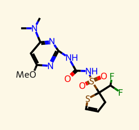 COc1cc(N(C)C)nc(NC(=O)NS(=O)(=O)C2(C(F)F)CC=CS2)n1